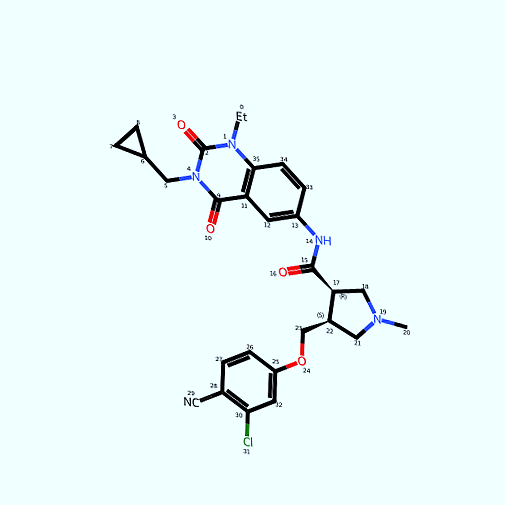 CCn1c(=O)n(CC2CC2)c(=O)c2cc(NC(=O)[C@H]3CN(C)C[C@H]3COc3ccc(C#N)c(Cl)c3)ccc21